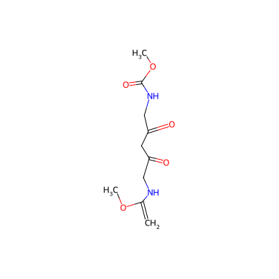 C=C(NCC(=O)CC(=O)CNC(=O)OC)OC